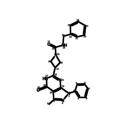 Cc1nn(-c2ccccc2)c2nc(C3CN(C(=O)NCc4ccccc4)C3)[nH]c(=O)c12